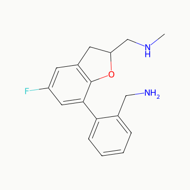 CNCC1Cc2cc(F)cc(-c3ccccc3CN)c2O1